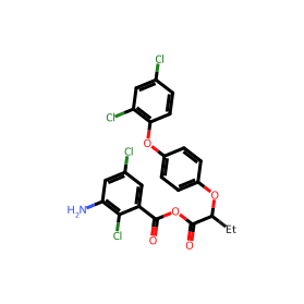 CCC(Oc1ccc(Oc2ccc(Cl)cc2Cl)cc1)C(=O)OC(=O)c1cc(Cl)cc(N)c1Cl